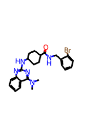 CN(C)c1nc(NC2CCC(C(=O)NCc3ccccc3Br)CC2)nc2ccccc12